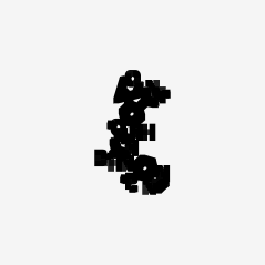 COc1cc(C23CCOCC2C3)c(-c2cnn(C)c2)cc1Nc1ncc(Br)c(Nc2ccc3nccnc3c2P(C)C)n1